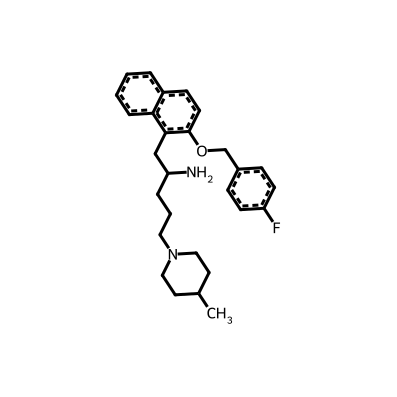 CC1CCN(CCCC(N)Cc2c(OCc3ccc(F)cc3)ccc3ccccc23)CC1